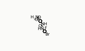 NS(=O)(=O)c1ccc(NC(=O)CNc2ccc(Br)cc2F)cc1